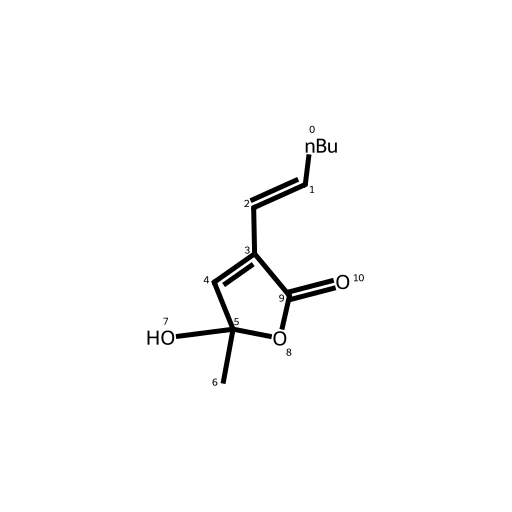 CCCC/C=C/C1=CC(C)(O)OC1=O